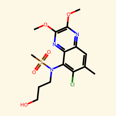 COc1nc2cc(C)c(Cl)c(N(CCCO)S(C)(=O)=O)c2nc1OC